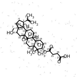 C=C(C)[C@@H]1CC[C@]2(CO)CC[C@]3(C)[C@H](CC[C@@H]4[C@@]5(C)CC[C@H](OC(=O)CCC(=O)O)C(C)(C)[C@@H]5CC[C@]43C)[C@@H]12